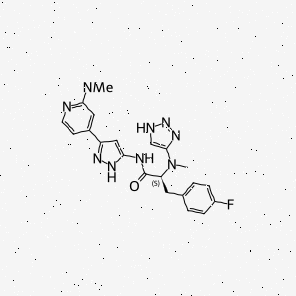 CNc1cc(-c2cc(NC(=O)[C@H](Cc3ccc(F)cc3)N(C)c3c[nH]nn3)[nH]n2)ccn1